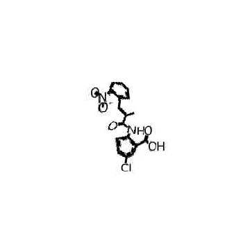 CC(=Cc1ccccc1[N+](=O)[O-])C(=O)Nc1ccc(Cl)cc1C(=O)O